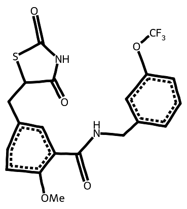 COc1ccc(CC2SC(=O)NC2=O)cc1C(=O)NCc1cccc(OC(F)(F)F)c1